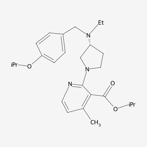 CCN(Cc1ccc(OC(C)C)cc1)[C@@H]1CCN(c2nccc(C)c2C(=O)OC(C)C)C1